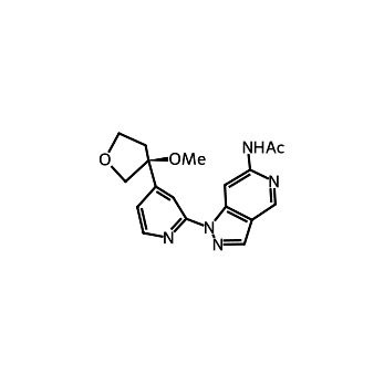 CO[C@]1(c2ccnc(-n3ncc4cnc(NC(C)=O)cc43)c2)CCOC1